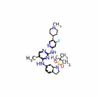 Cc1cnc(Nc2cc(F)c(C3CCN(C)CC3)cn2)nc1Nc1ccc2c(c1)N(S(=O)(=O)C(C)(C)C)CC2